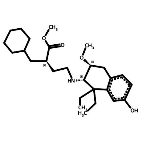 CCC1(CC)c2cc(O)ccc2C[C@H](OC)[C@H]1NCC[C@@H](CC1CCCCC1)C(=O)OC